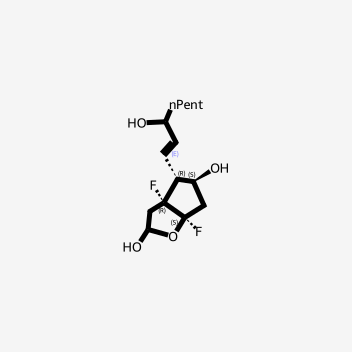 CCCCCC(O)/C=C/[C@@H]1[C@@H](O)C[C@@]2(F)OC(O)C[C@@]12F